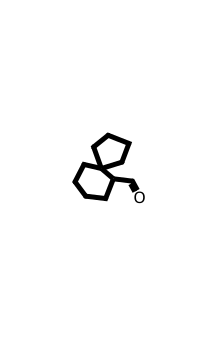 O=CC1CCCCC12CCCC2